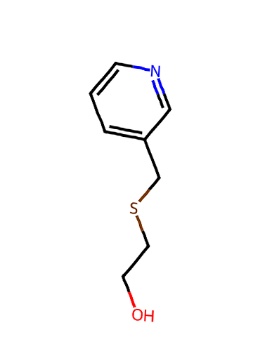 OCCSCc1cccnc1